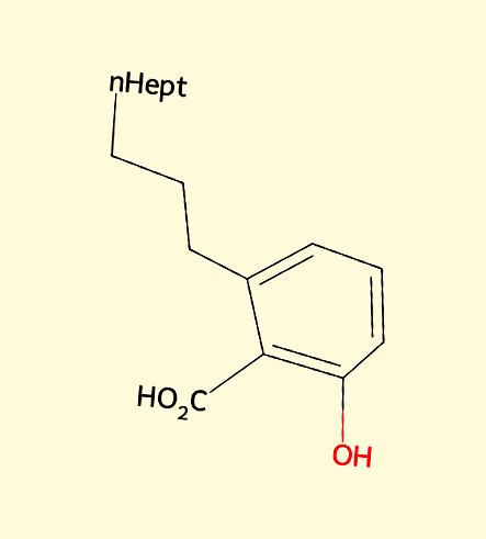 CCCCCCCCCCc1cccc(O)c1C(=O)O